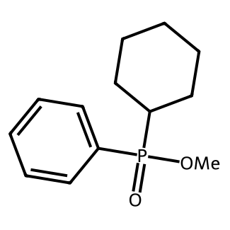 COP(=O)(c1ccccc1)C1CCCCC1